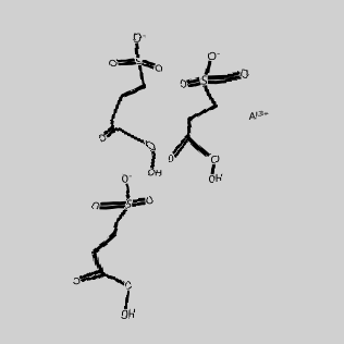 O=C(CCS(=O)(=O)[O-])OO.O=C(CCS(=O)(=O)[O-])OO.O=C(CCS(=O)(=O)[O-])OO.[Al+3]